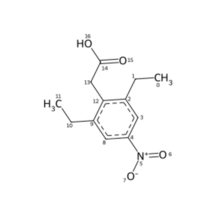 CCc1cc([N+](=O)[O-])cc(CC)c1CC(=O)O